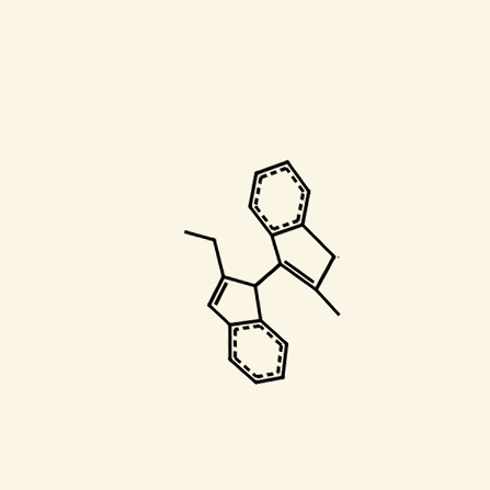 CCC1=Cc2ccccc2C1C1=C(C)[CH]c2ccccc21